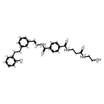 O=C(CCNC(=O)c1ccc(C(=O)N/N=C/c2cccc(CCc3ccccc3Cl)c2)cc1)NCCO